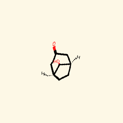 O=C1C[C@H]2CC[C@@H](C1)C2O